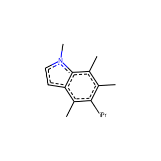 Cc1c(C(C)C)c(C)c2ccn(C)c2c1C